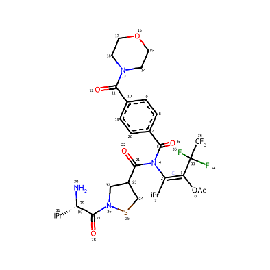 CC(=O)O/C(=C(\C(C)C)N(C(=O)c1ccc(C(=O)N2CCOCC2)cc1)C(=O)C1CSN(C(=O)[C@@H](N)C(C)C)C1)C(F)(F)C(F)(F)F